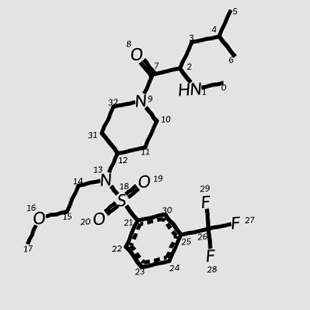 CNC(CC(C)C)C(=O)N1CCC(N(CCOC)S(=O)(=O)c2cccc(C(F)(F)F)c2)CC1